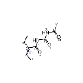 C/C=C(/CC)C(=O)NC(=O)NC(C)=O